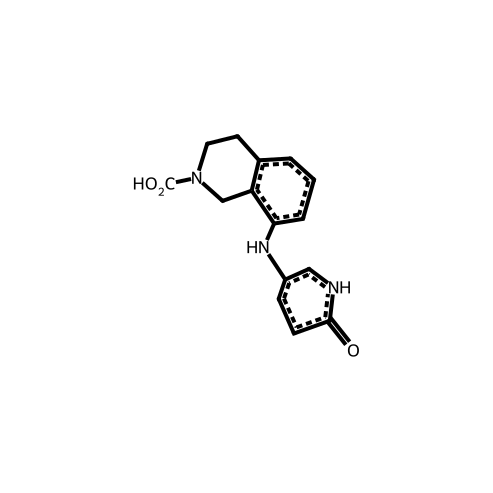 O=C(O)N1CCc2cccc(Nc3ccc(=O)[nH]c3)c2C1